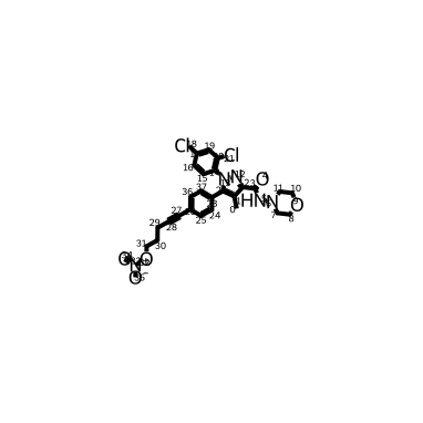 Cc1c(C(=O)NN2CCOCC2)nn(-c2ccc(Cl)cc2Cl)c1-c1ccc(C#CCCCO[N+](=O)[O-])cc1